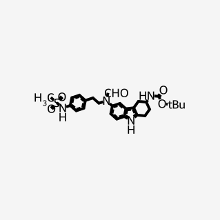 CC(C)(C)OC(=O)NC1CCc2[nH]c3ccc(N(C=O)CCc4ccc(NS(C)(=O)=O)cc4)cc3c2C1